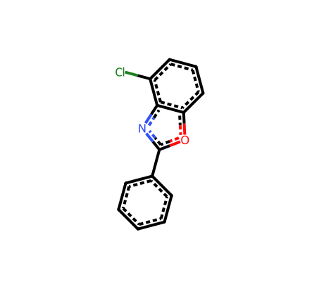 Clc1cccc2oc(-c3ccccc3)nc12